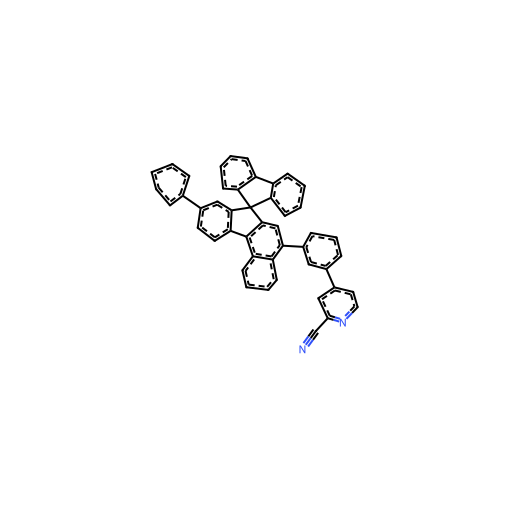 N#Cc1cc(-c2cccc(-c3cc4c(c5ccccc35)-c3ccc(-c5ccccc5)cc3C43c4ccccc4-c4ccccc43)c2)ccn1